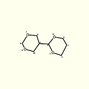 [CH]1CCOC(C2COCOC2)O1